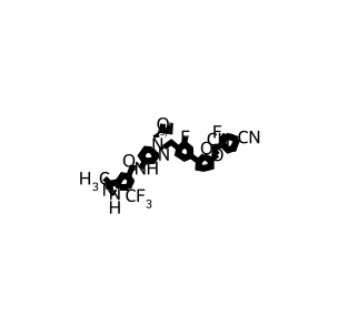 Cc1n[nH]c2c(C(F)(F)F)cc(C(=O)Nc3ccc4c(c3)nc(Cc3ccc(-c5cccc6c5OC(C)(c5ccc(C#N)cc5F)O6)cc3F)n4C[C@@H]3CCO3)cc12